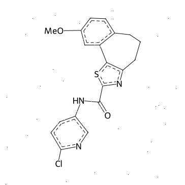 COc1ccc2c(c1)-c1sc(C(=O)Nc3ccc(Cl)nc3)nc1CCC2